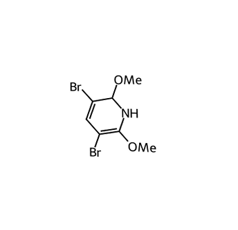 COC1=C(Br)C=C(Br)C(OC)N1